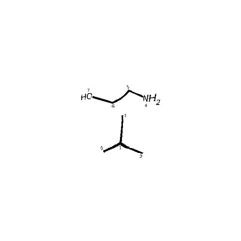 CC(C)C.NCCO